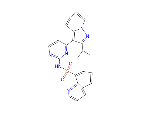 CC(C)c1nn2ccccc2c1-c1ccnc(NS(=O)(=O)c2cccc3cccnc23)n1